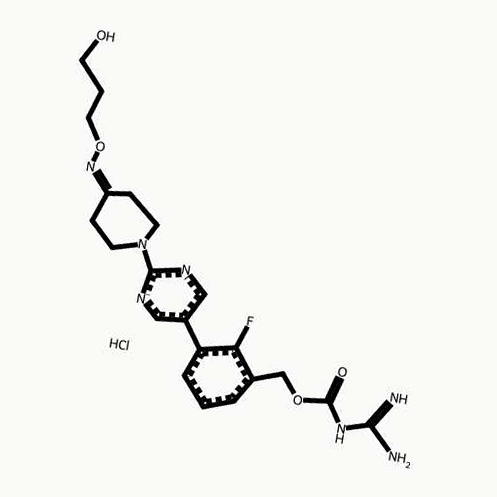 Cl.N=C(N)NC(=O)OCc1cccc(-c2cnc(N3CCC(=NOCCCO)CC3)nc2)c1F